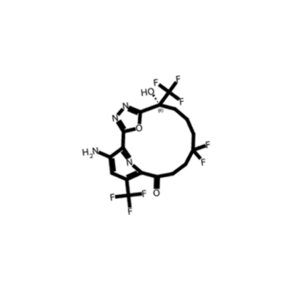 Nc1cc(C(F)(F)F)c2nc1-c1nnc(o1)[C@@](O)(C(F)(F)F)CCCC(F)(F)CCC2=O